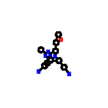 N#Cc1ccc(-c2ccc3c(c2)c2cc(-c4ccc(C#N)cc4)ccc2n3-c2ccc(-c3ccc4c(c3)oc3ccccc34)cc2-c2nc(-c3ccccc3)nc(-c3ccccc3)n2)cc1